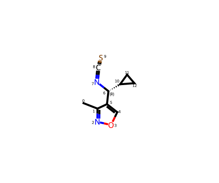 Cc1nocc1[C@H](N=C=S)C1CC1